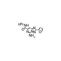 CCCNC(=O)c1cc2nc(-c3ccco3)nn2c(N)n1